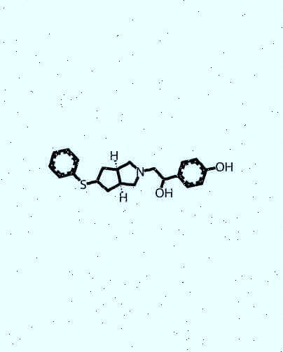 Oc1ccc(C(O)CN2C[C@H]3CC(Sc4ccccc4)C[C@H]3C2)cc1